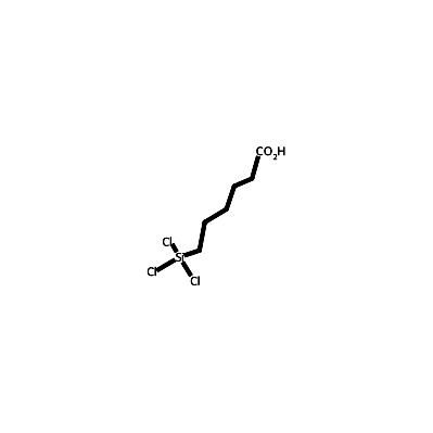 O=C(O)CCCCC[Si](Cl)(Cl)Cl